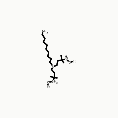 CCO[SiH2]C(C)(C)CCN(CCCCCCCCCN)CCC(C)(C)[SiH2]OCC